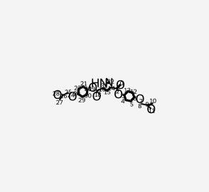 O=C(Oc1ccc(OCC2CO2)cc1)c1cc(C(=O)Oc2ccc(OCC3CO3)cc2)[nH]n1